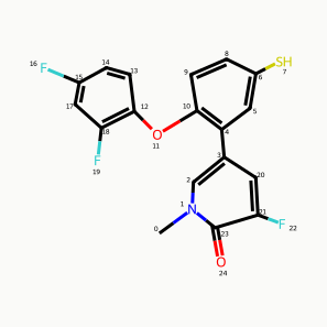 Cn1cc(-c2cc(S)ccc2Oc2ccc(F)cc2F)cc(F)c1=O